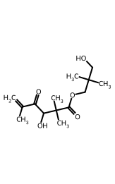 C=C(C)C(=O)C(O)C(C)(C)C(=O)OCC(C)(C)CO